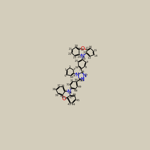 C1=CCCC(n2c(-c3ccc(N4c5ccccc5Oc5ccccc54)cc3)nnc2-c2ccc(N3c4ccccc4Oc4ccccc43)cc2)=C1